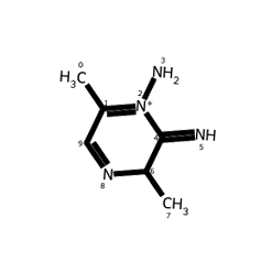 CC1=[N+](N)C(=N)C(C)N=C1